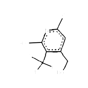 Cc1nc(Cl)cc(CO)c1C(F)(F)F